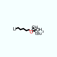 [Li][CH2]CCCCO[Si](C)(C)C(C)(C)C